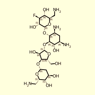 NC[C@@H]1O[C@H](O[C@H]2[C@@H](O)[C@H](O[C@@H]3[C@@H](O)[C@H](N)C[C@H](N)[C@H]3O[C@H]3O[C@H](CN)[C@@H](O)[C@H](F)[C@H]3O)O[C@@H]2CO)C[C@@H](O)[C@@H]1O